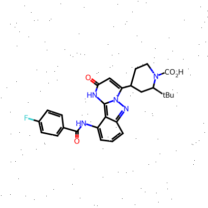 CC(C)(C)C1CC(c2cc(=O)[nH]c3c4c(NC(=O)c5ccc(F)cc5)cccc4nn23)CCN1C(=O)O